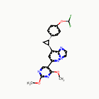 COc1ncc(-c2cc([C@H]3C[C@@H]3c3ccc(OC(F)F)cc3)c3nccn3n2)c(OC)n1